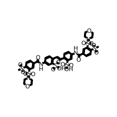 CS(=O)(=O)c1ccc(C(=O)Nc2ccc(C=Cc3ccc(NC(=O)c4ccc(S(C)(=O)=O)c(S(=O)(=O)N5CCOCC5)c4)cc3S(=O)(=O)O)c(S(=O)(=O)O)c2)cc1S(=O)(=O)N1CCOCC1